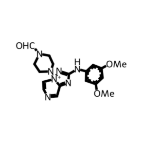 COc1cc(NC2=N[N+]3(N4CCN(C=O)CC4)C=CN=CC3=N2)cc(OC)c1